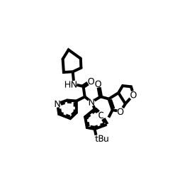 CC1=C(C(=O)N(c2ccc(C(C)(C)C)cc2)C(C(=O)NC2CCCCC2)c2cccnc2)C2CCOC2O1